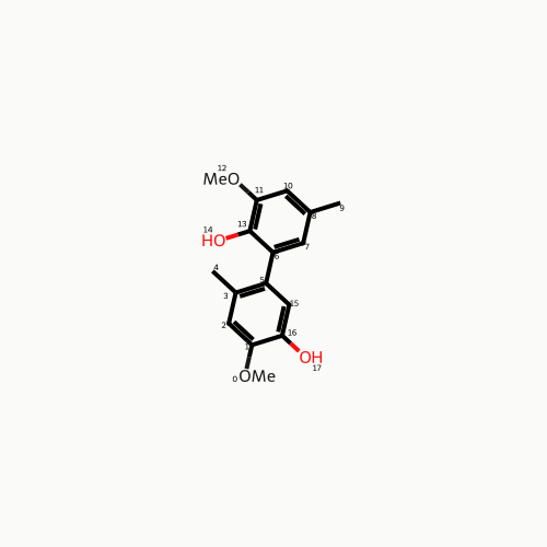 COc1cc(C)c(-c2cc(C)cc(OC)c2O)cc1O